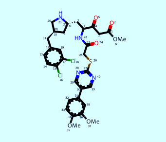 COC(=O)CC(=O)C(C[C@@H]1C[C@@H](Cc2ccc(Cl)c(Cl)c2)CN1)NC(=O)CSc1ncc(-c2ccc(OC)c(OC)c2)cn1